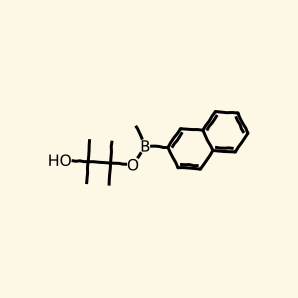 CB(OC(C)(C)C(C)(C)O)c1ccc2ccccc2c1